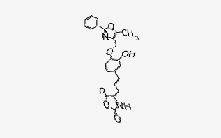 Cc1oc(-c2ccccc2)nc1COc1ccc(CCCC2NC(=O)OC2=O)cc1O